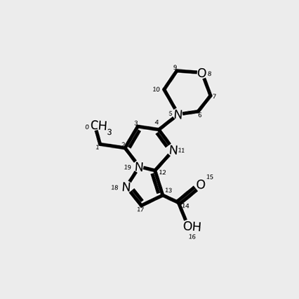 CCc1cc(N2CCOCC2)nc2c(C(=O)O)cnn12